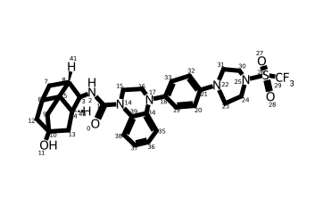 O=C(NC1[C@@H]2CC3C[C@H]1CC(O)(C3)C2)N1CCN(c2ccc(N3CCN(S(=O)(=O)C(F)(F)F)CC3)cc2)c2ccccc21